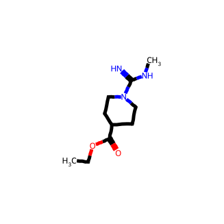 CCOC(=O)C1CCN(C(=N)NC)CC1